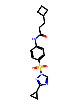 O=C(CCC1CCC1)Nc1ccc(S(=O)(=O)n2cnc(C3CC3)n2)cc1